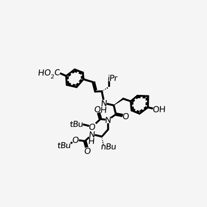 CCCC[C@@H](CN(C(=O)OC(C)(C)C)C(=O)[C@H](Cc1ccc(O)cc1)N[C@H](/C=C/c1ccc(C(=O)O)cc1)CC(C)C)NC(=O)OC(C)(C)C